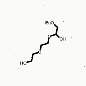 CC(C)COCC(O)OCCOCCO